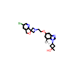 CC1(O)CC(n2cnc3cc(OCCN4CC5(C4)OCc4cc(Br)cnc45)cc(C(F)(F)F)c32)C1